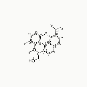 CO[C@H](CO)[n+]1ccc2ccc(C(C)C)cc2c1-c1cc(C)ccc1C